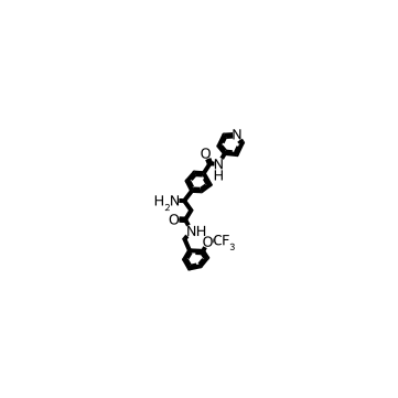 NC(CC(=O)NCc1ccccc1OC(F)(F)F)c1ccc(C(=O)Nc2ccncc2)cc1